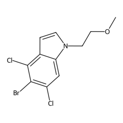 COCCn1ccc2c(Cl)c(Br)c(Cl)cc21